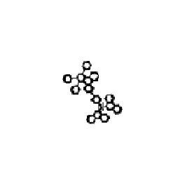 C1=Cc2c(c3c(-c4ccccc4)cc(-c4ccccc4)c(-c4ccccc4)c3c3ccc(-c4ccc(N(c5cc6ccccc6c6ccccc56)c5cc6ccccc6c6ccccc56)cc4)cc23)CC1